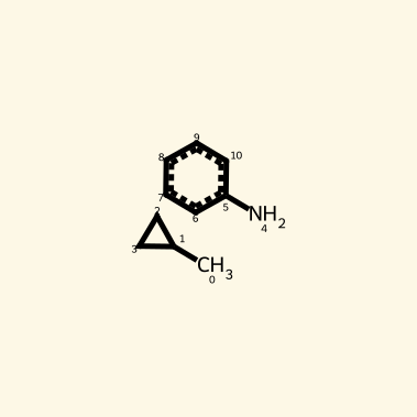 CC1CC1.Nc1ccccc1